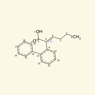 CCC/C=C(/C(=O)O)c1ccccc1-c1ccccc1